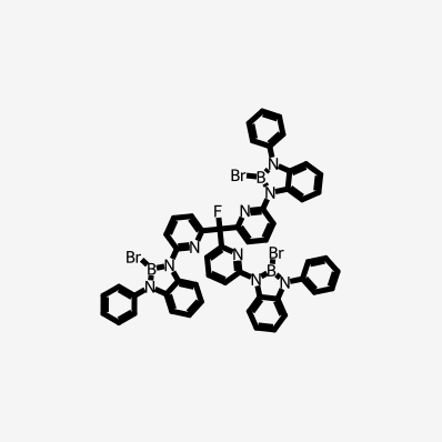 FC(c1cccc(N2B(Br)N(c3ccccc3)c3ccccc32)n1)(c1cccc(N2B(Br)N(c3ccccc3)c3ccccc32)n1)c1cccc(N2B(Br)N(c3ccccc3)c3ccccc32)n1